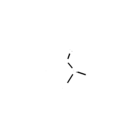 C[N](C)[Ti][NH2].Cl.Cl